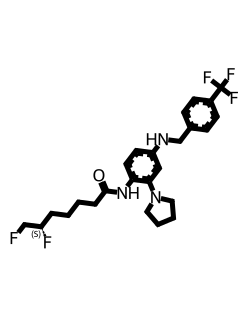 O=C(CCCC[C@H](F)CF)Nc1ccc(NCc2ccc(C(F)(F)F)cc2)cc1N1CCCC1